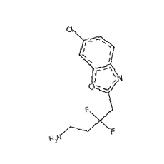 NCCC(F)(F)Cc1nc2ccc(Cl)cc2o1